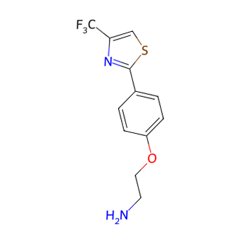 NCCOc1ccc(-c2nc(C(F)(F)F)cs2)cc1